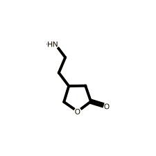 [NH]CCC1COC(=O)C1